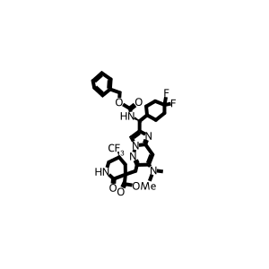 COC(=O)C1(Cc2nn3cc([C@@H](NC(=O)OCc4ccccc4)C4CCC(F)(F)CC4)nc3cc2N(C)C)C[C@@H](C(F)(F)F)CNC1=O